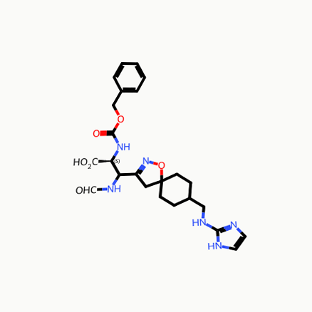 O=CNC(C1=NOC2(CCC(CNc3ncc[nH]3)CC2)C1)[C@H](NC(=O)OCc1ccccc1)C(=O)O